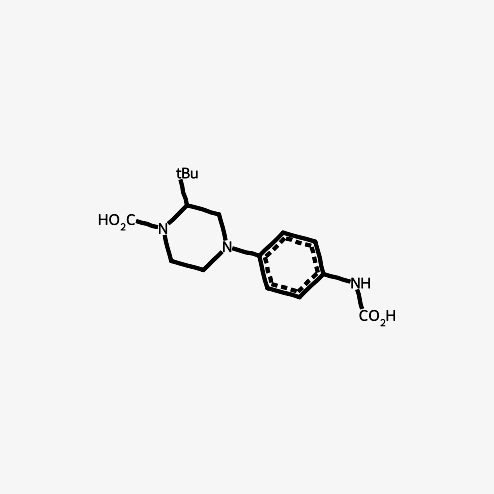 CC(C)(C)C1CN(c2ccc(NC(=O)O)cc2)CCN1C(=O)O